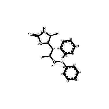 C[C@@H]1NC(=O)OC1C[C@H](C)O[SiH](c1ccccc1)c1ccccc1